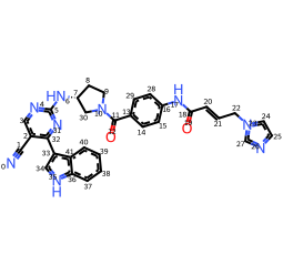 N#Cc1cnc(N[C@@H]2CCN(C(=O)c3ccc(NC(=O)C=CCn4ccnc4)cc3)C2)nc1-c1c[nH]c2ccccc12